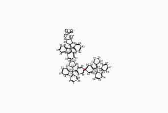 O=P([O-])([O-])[O-].c1ccc([P+](c2ccccc2)(c2ccccc2)C2CCCC2)cc1.c1ccc([P+](c2ccccc2)(c2ccccc2)C2CCCC2)cc1.c1ccc([P+](c2ccccc2)(c2ccccc2)C2CCCC2)cc1